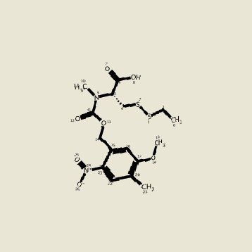 CCSSC[C@@H](C(=O)O)N(C)C(=O)OCc1cc(OC)c(C)cc1[N+](=O)[O-]